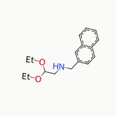 CCOC(CNCc1ccc2ccccc2c1)OCC